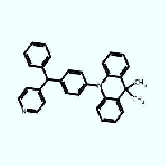 CC1(C)c2ccccc2N(c2ccc(C(c3ccccc3)c3ccncc3)cc2)c2ccccc21